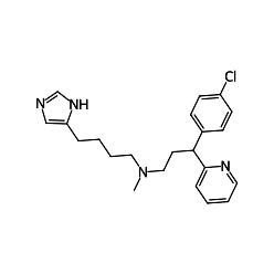 CN(CCCCc1cnc[nH]1)CCC(c1ccc(Cl)cc1)c1ccccn1